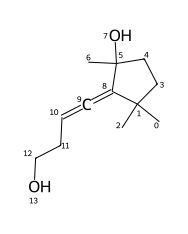 CC1(C)CCC(C)(O)C1=C=CCCO